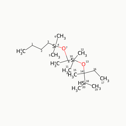 CCCC[Si](C)(C)OC(C)[Si](C)(C)OC(C)(CC)[SiH](C)C